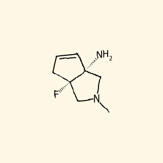 CN1C[C@@]2(F)CC=C[C@@]2(N)C1